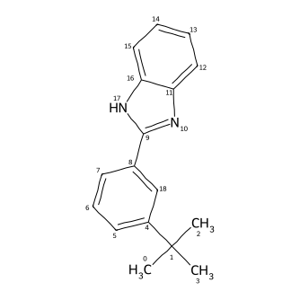 CC(C)(C)c1cccc(-c2nc3ccccc3[nH]2)c1